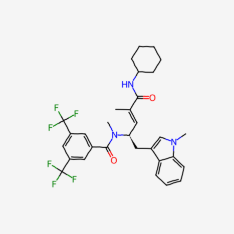 CC(=C[C@@H](Cc1cn(C)c2ccccc12)N(C)C(=O)c1cc(C(F)(F)F)cc(C(F)(F)F)c1)C(=O)NC1CCCCC1